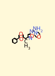 CC(C1=COC=C(C2=CC=CCC2)O1)c1cc(N=C(N)N2CCOCC2)on1